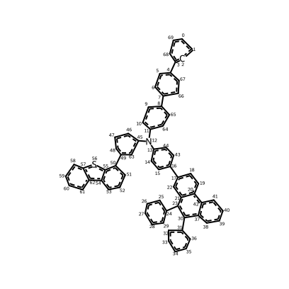 c1ccc(-c2ccc(-c3ccc(N(c4ccc(-c5ccc6c(c5)c(-c5ccccc5)c(-c5ccccc5)c5ccccc56)cc4)c4cccc(-c5cccc6c5sc5ccccc56)c4)cc3)cc2)cc1